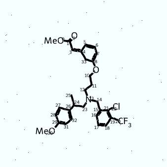 COC(=O)/C=C1\C=CC=C(OCCCN(Cc2cccc(C(F)(F)F)c2Cl)CC(C)c2ccc(OC)cc2)C1